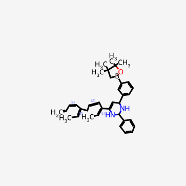 C=C/C=C\C(=C/C)C/C=C\C(=C/C)C1=CC(c2cccc(B3CC(C)(C)C(C)(C)O3)c2)NC(c2ccccc2)N1